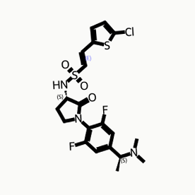 C[C@@H](c1cc(F)c(N2CC[C@H](NS(=O)(=O)/C=C/c3ccc(Cl)s3)C2=O)c(F)c1)N(C)C